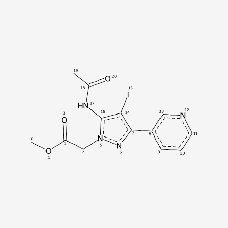 COC(=O)Cn1nc(-c2cccnc2)c(I)c1NC(C)=O